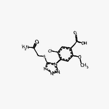 COc1cc(-n2nnnc2SCC(N)=O)c(Cl)cc1C(=O)O